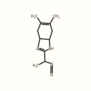 CC1=C(C)CC2NC(C(C)N=O)=NC2C1